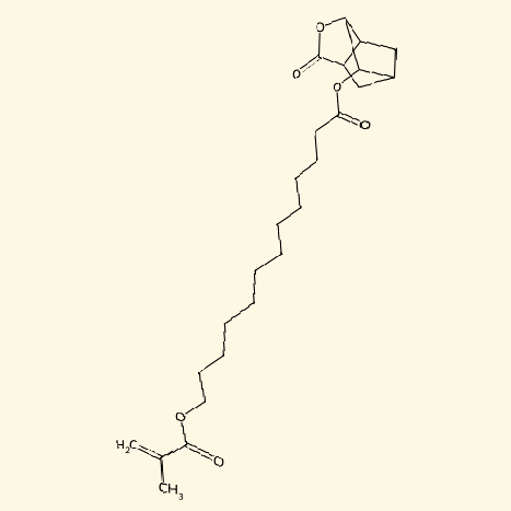 C=C(C)C(=O)OCCCCCCCCCCCCC(=O)OC1C2CC3C(=O)OC1C3C2